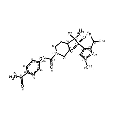 Cn1cc(S(=O)(=O)[C@@](C)(F)C2CCN(C(=O)Nc3ccc(C(N)=O)nc3)CC2)c(C(F)F)n1